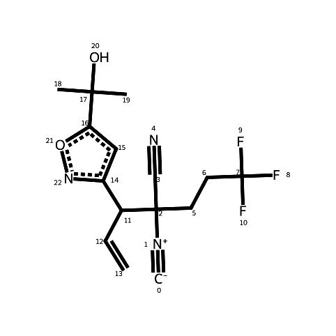 [C-]#[N+]C(C#N)(CCC(F)(F)F)C(C=C)c1cc(C(C)(C)O)on1